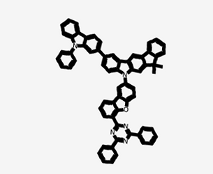 CC1(C)c2ccccc2-c2cc3c4cc(-c5ccc6c7ccccc7n(-c7ccccc7)c6c5)ccc4n(-c4ccc5oc6c(-c7nc(-c8ccccc8)nc(-c8ccccc8)n7)cccc6c5c4)c3cc21